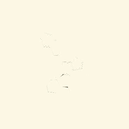 OC[C@H]1CCCC[C@H]1c1cc(NCc2cccnc2)n2ncc(Br)c2n1